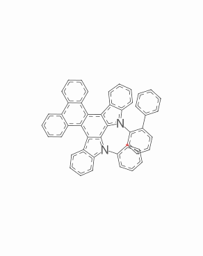 c1ccc(-c2ccccc2-n2c3ccccc3c3c4c5ccccc5c5ccccc5c4c4c5ccccc5n(-c5ccccc5)c4c32)cc1